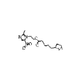 Cc1ncc([N+](=O)[O-])n1CCOC(=O)CCCCC1CCSS1